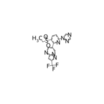 CCS(=O)(=O)c1ccc(-n2cncn2)nc1-c1cnc2cc(C(F)(F)F)nn2c1